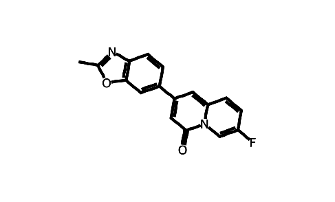 Cc1nc2ccc(-c3cc(=O)n4cc(F)ccc4c3)cc2o1